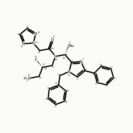 CC(C)(C)[C@H](c1nc(-c2ccccc2)cn1Cc1ccccc1)N(C[C@@H](F)CN)C(=O)Cn1nccn1